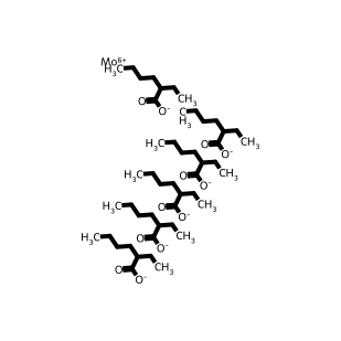 CCCCC(CC)C(=O)[O-].CCCCC(CC)C(=O)[O-].CCCCC(CC)C(=O)[O-].CCCCC(CC)C(=O)[O-].CCCCC(CC)C(=O)[O-].CCCCC(CC)C(=O)[O-].[Mo+6]